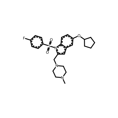 CN1CCN(Cc2cc3cc(OC4CCCC4)ccc3n2S(=O)(=O)c2ccc(F)cc2)CC1